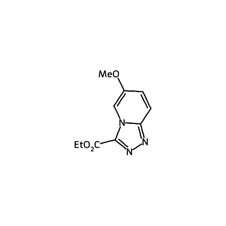 CCOC(=O)c1nnc2ccc(OC)cn12